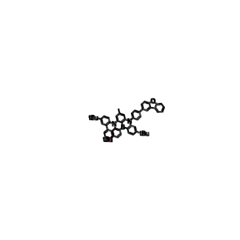 Cc1cc2c3c(c1)N(c1ccc(C(C)(C)C)cc1-c1ccccc1)c1cc(C(C)(C)C)ccc1B3c1ccc(C(C)(C)C)cc1N2c1ccc(-c2ccc3oc4ccccc4c3c2)cc1